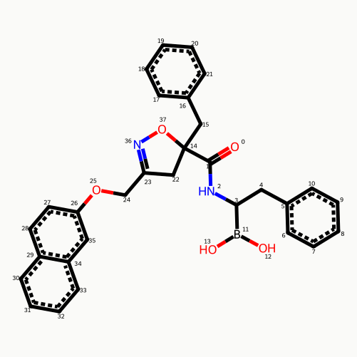 O=C(NC(Cc1ccccc1)B(O)O)C1(Cc2ccccc2)CC(COc2ccc3ccccc3c2)=NO1